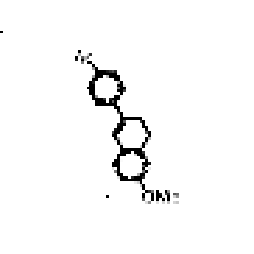 COc1ccc2c(c1)CCC(c1ccc(C(C)=O)cc1)=C2